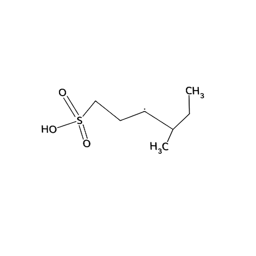 CCC(C)[CH]CCS(=O)(=O)O